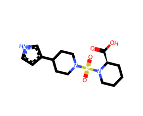 O=C(O)[C@H]1CCCCN1S(=O)(=O)N1CCC(c2cc[nH]c2)CC1